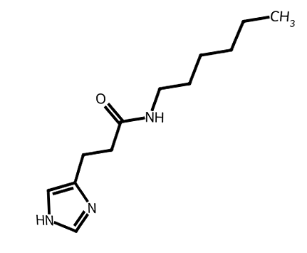 CCCCCCNC(=O)CCc1c[nH]cn1